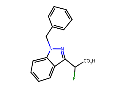 O=C(O)C(F)c1nn(Cc2ccccc2)c2ccccc12